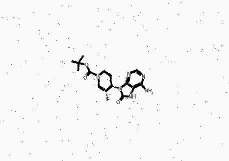 CC(C)(C)OC(=O)N1CC[C@@H](n2c(=O)[nH]c3c(N)ncnc32)[C@H](F)C1